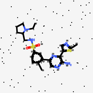 CCN1CCCC1CNS(=O)(=O)c1ccc(C)c(-c2cnc(N)c(-c3cnc(C)s3)n2)c1